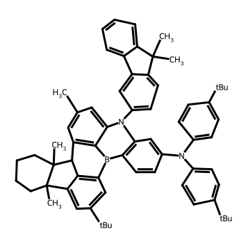 Cc1cc2c3c(c1)N(c1ccc4c(c1)-c1ccccc1C4(C)C)c1cc(N(c4ccc(C(C)(C)C)cc4)c4ccc(C(C)(C)C)cc4)ccc1B3c1cc(C(C)(C)C)cc3c1C2C1(C)CCCCC31C